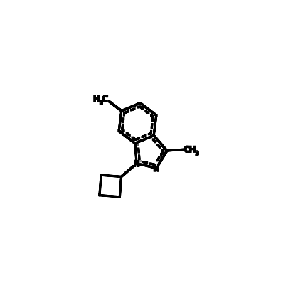 Cc1ccc2c(C)nn(C3CCC3)c2c1